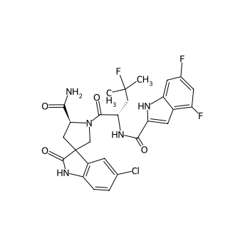 CC(C)(F)C[C@H](NC(=O)c1cc2c(F)cc(F)cc2[nH]1)C(=O)N1CC2(C[C@H]1C(N)=O)C(=O)Nc1ccc(Cl)cc12